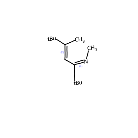 C/N=C(\C=C(/C)C(C)(C)C)C(C)(C)C